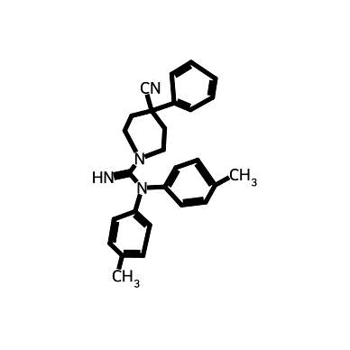 Cc1ccc(N(C(=N)N2CCC(C#N)(c3ccccc3)CC2)c2ccc(C)cc2)cc1